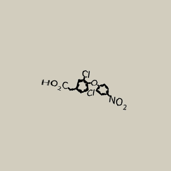 O=C(O)Cc1cc(Cl)c(Oc2ccc([N+](=O)[O-])cc2)c(Cl)c1